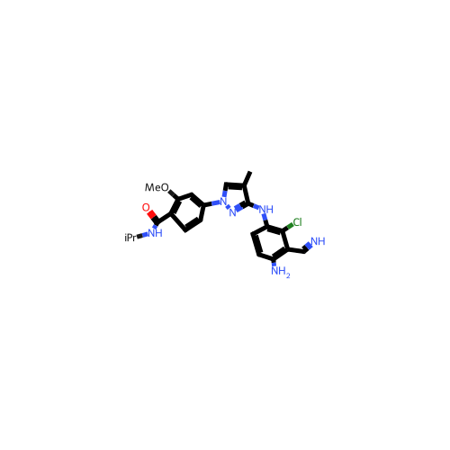 COc1cc(-n2cc(C)c(Nc3ccc(N)c(C=N)c3Cl)n2)ccc1C(=O)NC(C)C